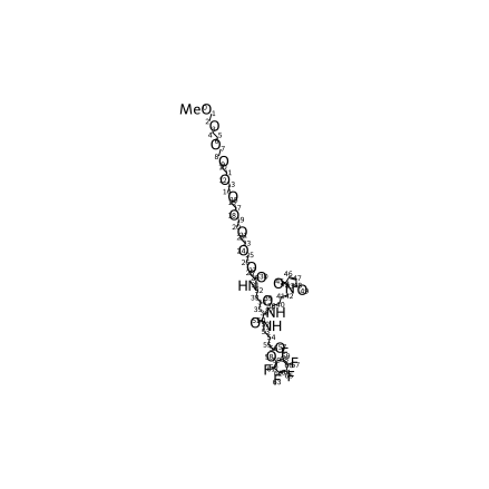 COCCOCCOCCOCCOCCOCCOCCOCCOCCOCC(=O)NCCCC[C@H](NC(=O)CCCN1C(=O)C=CC1=O)C(=O)NCCCC(=O)Oc1c(F)c(F)c(F)c(F)c1F